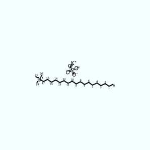 CCCCCCCCCCCCCCCCCC[N+](C)(C)C.O=S(=O)([O-])[O-].[K+]